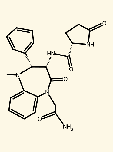 CN1c2ccccc2N(CC(N)=O)C(=O)[C@@H](NC(=O)[C@@H]2CCC(=O)N2)[C@H]1c1ccccc1